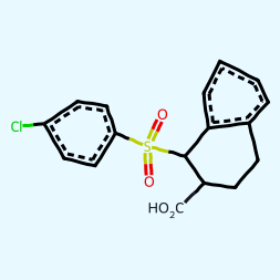 O=C(O)C1CCc2ccccc2C1S(=O)(=O)c1ccc(Cl)cc1